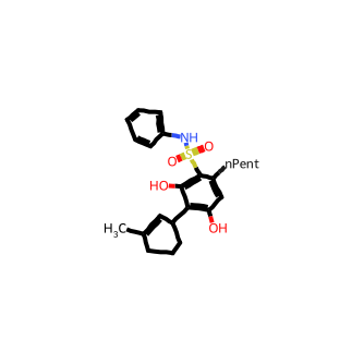 CCCCCc1cc(O)c(C2C=C(C)CCC2)c(O)c1S(=O)(=O)Nc1ccccc1